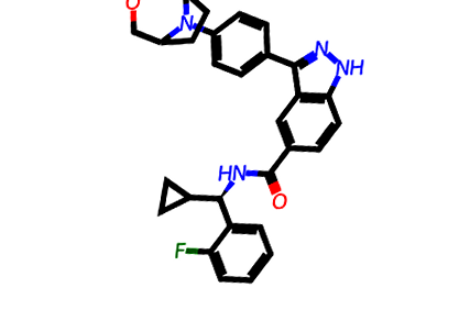 O=C(N[C@@H](c1ccccc1F)C1CC1)c1ccc2[nH]nc(-c3ccc(N4C5CCC4COC5)cc3)c2c1